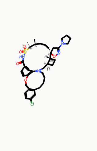 C[C@@H]1[C@@H](C)CCC[C@@]2(CC(N3CCCC3)=NO2)[C@@H]2CC[C@H]2CN2CCCCc3cc(Cl)ccc3COc3ccc(cc32)C(=O)NS1(=O)=O